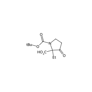 CCC1(C(=O)O)C(=O)CCN1C(=O)OC(C)(C)C